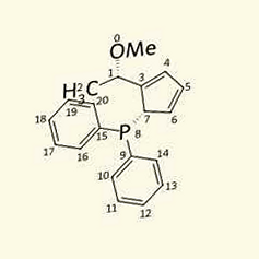 CO[C@@H](C)C1=CC=C[C@@H]1P(c1ccccc1)c1ccccc1